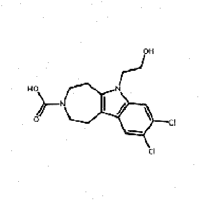 O=C(O)N1CCc2c(n(CCO)c3cc(Cl)c(Cl)cc23)CC1